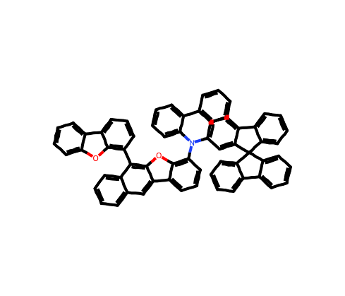 c1ccc(-c2ccccc2N(c2ccc3c(c2)C2(c4ccccc4-c4ccccc42)c2ccccc2-3)c2cccc3c2oc2c(-c4cccc5c4oc4ccccc45)c4ccccc4cc23)cc1